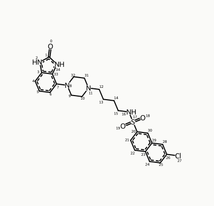 O=c1[nH]c2cccc(N3CCN(CCCCNS(=O)(=O)c4ccc5ccc(Cl)cc5c4)CC3)c2[nH]1